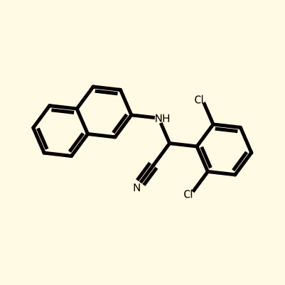 N#CC(Nc1ccc2ccccc2c1)c1c(Cl)cccc1Cl